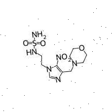 NS(=O)(=O)NCCn1cnc(CN2CCOCC2)c1[N+](=O)[O-]